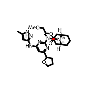 COCCOC(=O)N1[C@@H]2CCC[C@H]1CC(N(C)c1nc(Nc3cc(C)[nH]n3)cc(C3CCCO3)n1)C2